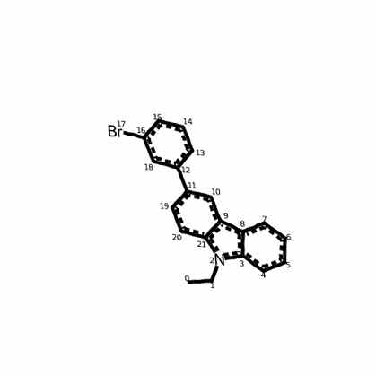 CCn1c2ccccc2c2cc(-c3cccc(Br)c3)ccc21